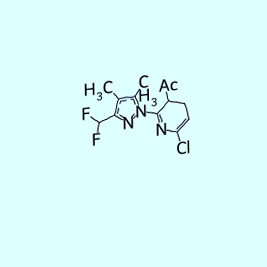 CC(=O)C1CC=C(Cl)N=C1n1nc(C(F)F)c(C)c1C